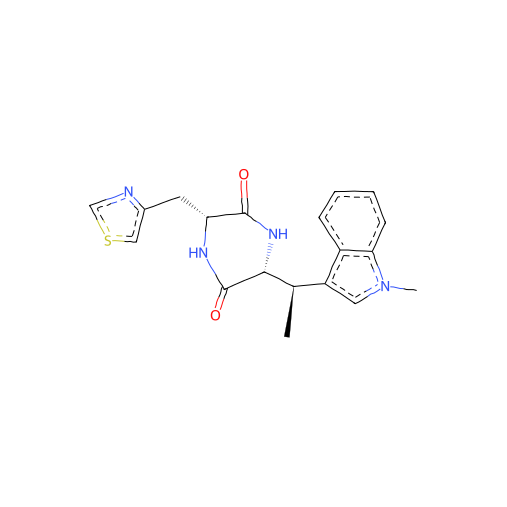 C[C@H](c1cn(C)c2ccccc12)[C@H]1NC(=O)[C@@H](Cc2cscn2)NC1=O